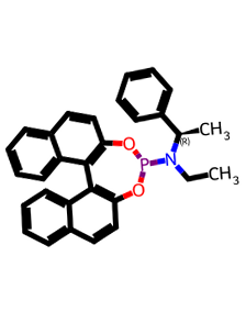 CCN([C@H](C)c1ccccc1)p1oc2ccc3ccccc3c2c2c(ccc3ccccc32)o1